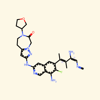 C=N/C=C(N)\C(C)=C(/C)c1cc2cc(Nc3cc4n(n3)CC(=O)N(C3CCOC3)CC4)ncc2c(N)c1F